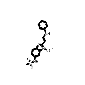 CC[n+]1c(/C=C/Nc2ccccc2)oc2ccc(NS(C)(=O)=O)cc21.[I-]